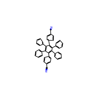 N#Cc1ccc(-c2c(-c3ccccc3)c(-c3ccccc3)c(-c3ccc(C#N)cc3)c(-c3ccccc3)c2-c2ccccc2)cc1